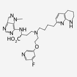 Cn1ncc2ncnc(N[C@@H](CCN(CCCCc3ccc4c(n3)NCCC4)CCOc3cncc(F)c3)C(=O)O)c21